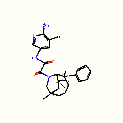 Cc1cc(NC(=O)C(=O)N2C[C@H]3CCC[C@@H](c4ccccc4)C2[C@@H](C)C3)cnc1N